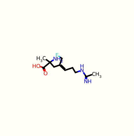 CC(=N)NCCC=C(CF)CC(C)(N)C(=O)O